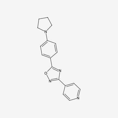 c1cc(-c2noc(-c3ccc(N4CCCC4)cc3)n2)ccn1